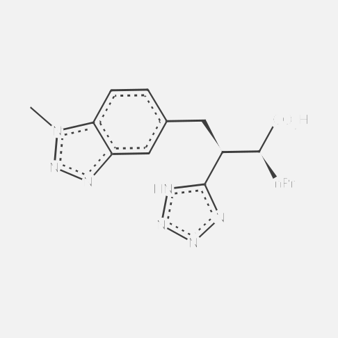 CCC[C@H](C(=O)O)[C@H](Cc1ccc2c(c1)nnn2C)c1nnn[nH]1